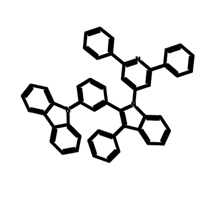 c1ccc(-c2cc(-n3c(-c4cccc(-n5c6ccccc6c6ccccc65)c4)c(-c4ccccc4)c4ccccc43)cc(-c3ccccc3)n2)cc1